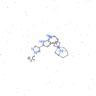 Cn1cc(-c2cc3c(N4CC5CCC(C4)N5[C@H]4C[C@@H](C#N)C4)ccnc3[nH]2)cn1